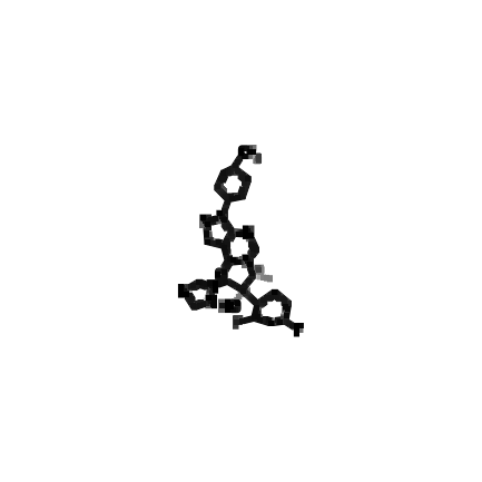 C[C@@H](n1cnc2c(cnn2-c2ccc(C(F)(F)F)cc2)c1=O)[C@](O)(Cn1cncn1)c1ccc(F)cc1F